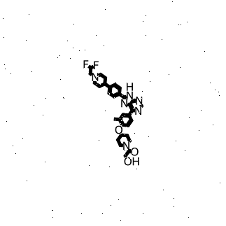 Cc1cc(-c2ncnc3[nH]c(-c4ccc(C5CCN(CC(F)F)CC5)cc4)nc23)ccc1OC1CCN(C(=O)CO)CC1